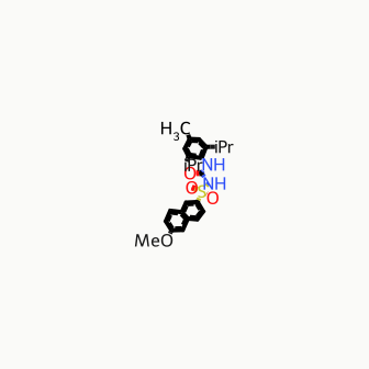 COc1ccc2cc(S(=O)(=O)NC(=O)Nc3c(C(C)C)cc(C)cc3C(C)C)ccc2c1